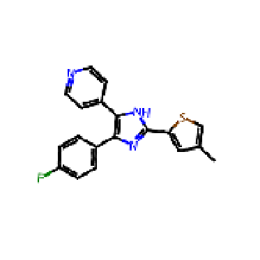 Cc1csc(-c2nc(-c3ccc(F)cc3)c(-c3ccncc3)[nH]2)c1